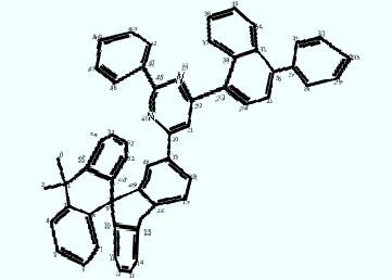 CC1(C)c2ccccc2C2(c3ccccc3-c3ccc(-c4cc(-c5ccc(-c6ccccc6)c6ccccc56)nc(-c5ccccc5)n4)cc32)c2ccccc21